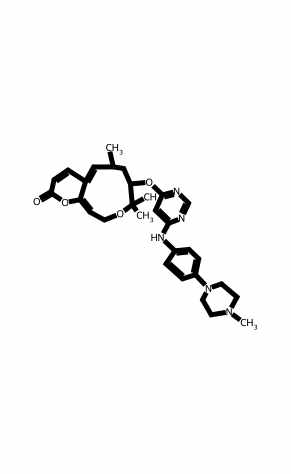 CC1/C=c2/ccc(=O)o/c2=C/COC(C)(C)C(Oc2cc(Nc3ccc(N4CCN(C)CC4)cc3)ncn2)C1